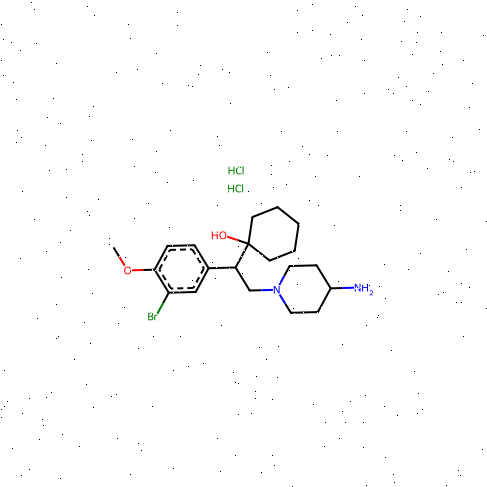 COc1ccc(C(CN2CCC(N)CC2)C2(O)CCCCC2)cc1Br.Cl.Cl